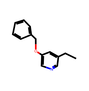 CCc1cncc(OCc2ccccc2)c1